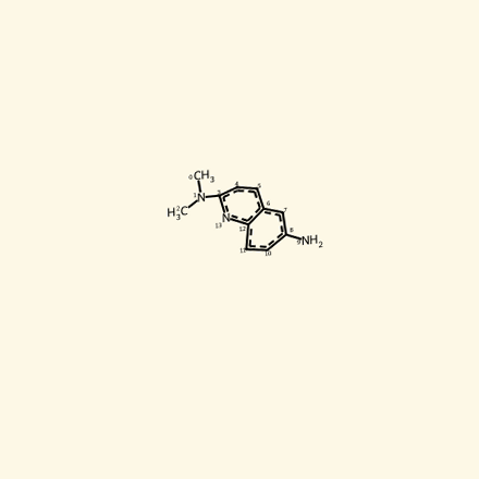 CN(C)c1ccc2cc(N)ccc2n1